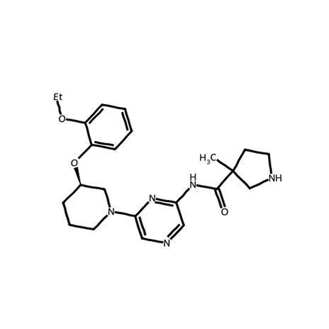 CCOc1ccccc1O[C@@H]1CCCN(c2cncc(NC(=O)C3(C)CCNC3)n2)C1